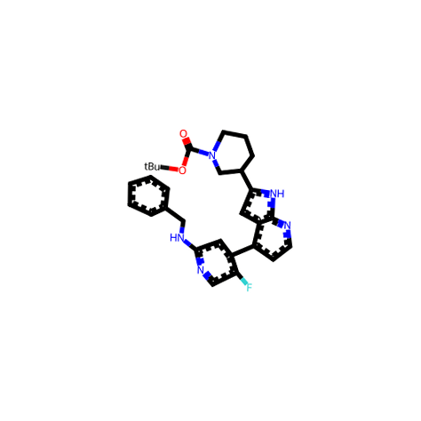 CC(C)(C)OC(=O)N1CCCC(c2cc3c(-c4cc(NCc5ccccc5)ncc4F)ccnc3[nH]2)C1